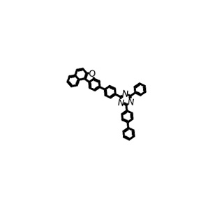 c1ccc(-c2ccc(-c3nc(-c4ccccc4)nc(-c4ccc(-c5ccc6c(c5)oc5ccc7ccccc7c56)cc4)n3)cc2)cc1